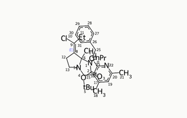 CCCN(C(=O)OC(C)(C)C)C1(C)/C(=C(/Cl)CC)CCN1Cc1c(C)cc(C)nc1OCc1ccccc1